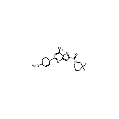 COC1=CCC(c2cc(C(F)(F)F)n3nc(C(=O)N4CCCC(F)(F)C4)cc3n2)C=C1